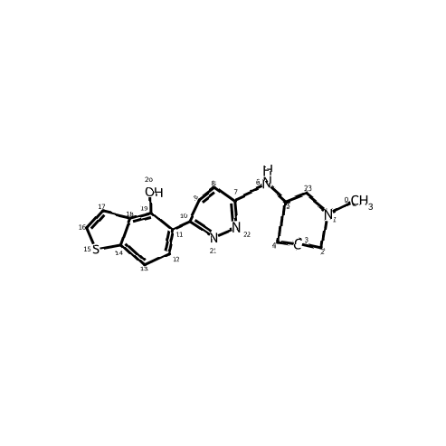 CN1CCCC(Nc2ccc(-c3ccc4sccc4c3O)nn2)C1